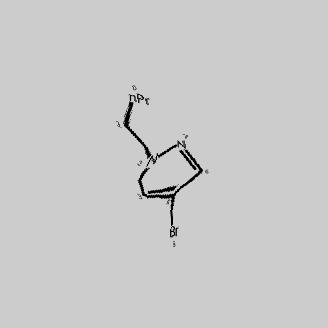 CCCCn1cc(Br)[c]n1